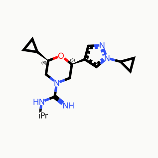 CC(C)NC(=N)N1C[C@@H](C2CC2)O[C@@H](c2cnn(C3CC3)c2)C1